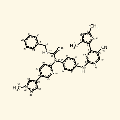 Cc1nc(C)c(-c2nc(Nc3ccc(N(C(=O)NCc4ccccc4)c4ccc(-c5cnn(C)c5)cn4)cc3)ncc2C#N)s1